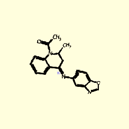 CC(=O)N1c2ccccc2/C(=N/c2ccc3ocnc3c2)CC1C